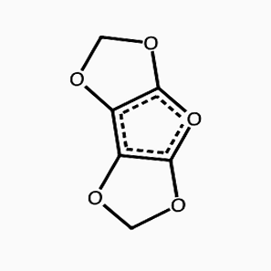 C1Oc2oc3c(c2O1)OCO3